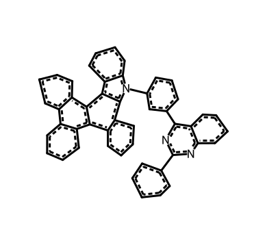 c1ccc(-c2nc(-c3cccc(-n4c5ccccc5c5c6c7ccccc7c7ccccc7c6c6ccccc6c54)c3)c3ccccc3n2)cc1